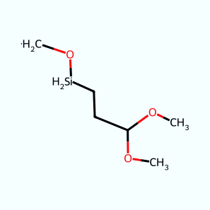 [CH2]O[SiH2]CCC(OC)OC